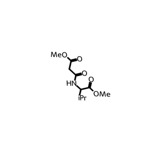 COC(=O)CC(=O)NC(C(=O)OC)C(C)C